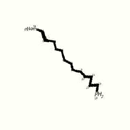 CCCCCCCCCCCCCCCCCCCCCCP